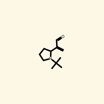 C=C(C=O)C1CCCN1C(C)(C)C